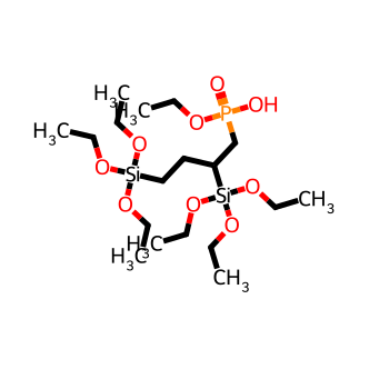 CCO[Si](CCC(CP(=O)(O)OCC)[Si](OCC)(OCC)OCC)(OCC)OCC